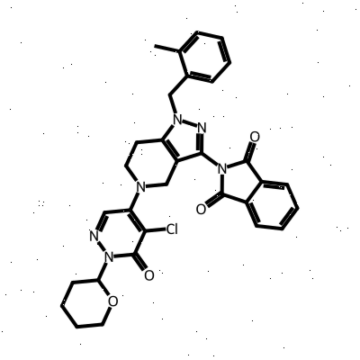 Cc1ccccc1Cn1nc(N2C(=O)c3ccccc3C2=O)c2c1CCN(c1cnn(C3CCCCO3)c(=O)c1Cl)C2